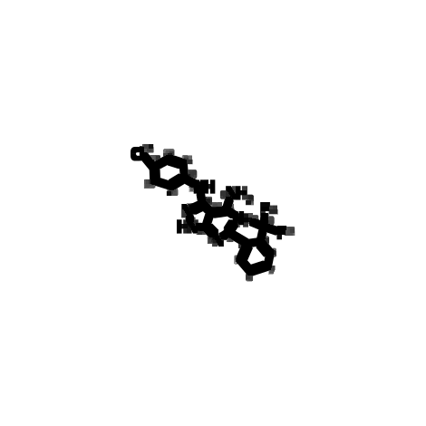 Nc1nc(-c2ccccc2C(F)(F)F)nc2[nH]nc(Nc3ccc(Cl)cc3)c12